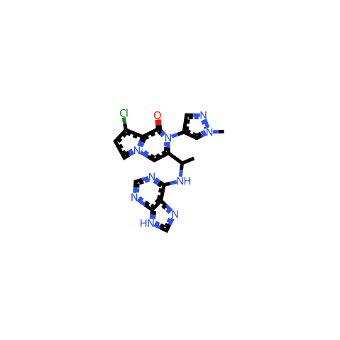 CC(Nc1ncnc2[nH]cnc12)c1cn2ccc(Cl)c2c(=O)n1-c1cnn(C)c1